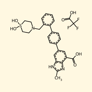 Cc1nc2c(C(=O)O)cc(-c3ccc(-c4ccccc4CN4CCS(O)(O)CC4)cc3)cc2[nH]1.O=C(O)C(F)(F)F